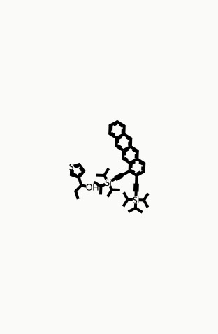 CC(C)[Si](C#Cc1ccc2cc3cc4ccccc4cc3cc2c1C#C[Si](C(C)C)(C(C)C)C(C)C)(C(C)C)C(C)C.CCC(O)c1ccsc1